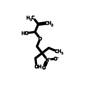 C=C(C)C(O)OCC(CC)(CO)[N+](=O)[O-]